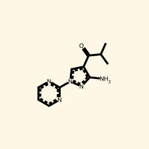 CC(C)C(=O)c1cn(-c2ncccn2)nc1N